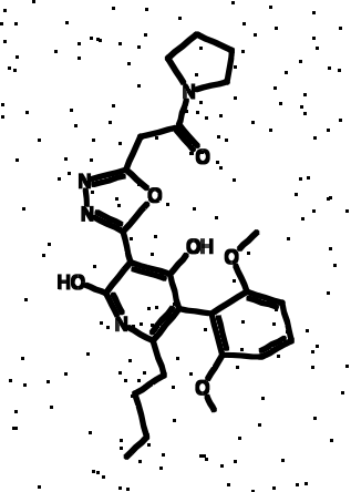 CCCCc1nc(O)c(-c2nnc(CC(=O)N3CCCC3)o2)c(O)c1-c1c(OC)cccc1OC